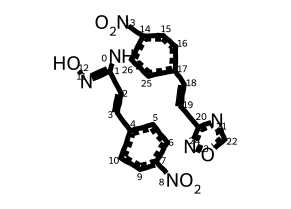 NC(C=Cc1ccc([N+](=O)[O-])cc1)=NO.O=[N+]([O-])c1ccc(/C=C/c2ncon2)cc1